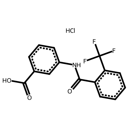 Cl.O=C(O)c1cccc(NC(=O)c2ccccc2C(F)(F)F)c1